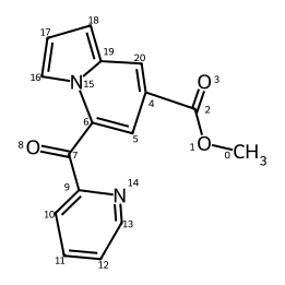 COC(=O)c1cc(C(=O)c2ccccn2)n2cccc2c1